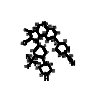 Cn1c(=O)n(-c2ccc(N3CCNCC3)c(C(F)(F)F)c2)c2c3cc(-c4ccc(C#N)nc4)ccc3ncc21